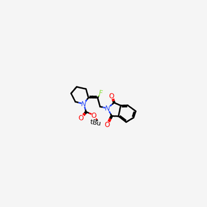 CC(C)(C)OC(=O)N1CCCCC1=C(F)CN1C(=O)c2ccccc2C1=O